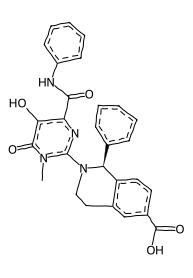 Cn1c(N2CCc3cc(C(=O)O)ccc3[C@@H]2c2ccccc2)nc(C(=O)Nc2ccccc2)c(O)c1=O